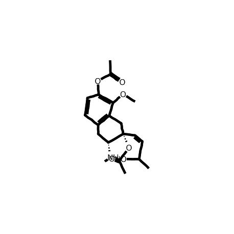 CN[C@@H]1Cc2ccc(OC(C)=O)c(OC)c2C[C@]1(/C=C\C(C)O)OC(C)=O